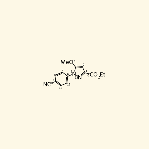 CCOC(=O)c1cc(OC)n(-c2ccc(C#N)cc2)n1